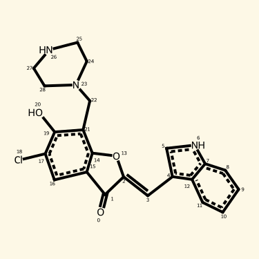 O=C1/C(=C/c2c[nH]c3ccccc23)Oc2c1cc(Cl)c(O)c2CN1CCNCC1